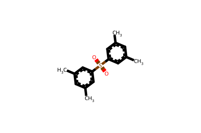 Cc1cc(C)cc(S(=O)(=O)c2cc(C)cc(C)c2)c1